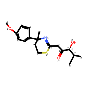 COc1ccc(C2(C)CCSC(CC(=O)[C@@H](O)C(C)C)=N2)cc1